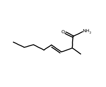 CCCC/C=C/C(C)C(N)=O